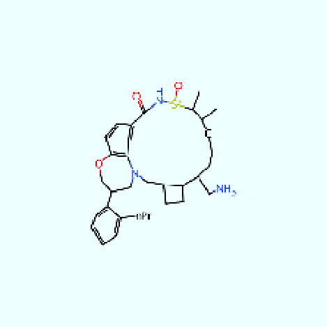 CCCc1ccccc1C1COc2ccc3cc2N(C1)CC1CCC1C(CN)CCCC(C)C(C)[S+]([O-])NC3=O